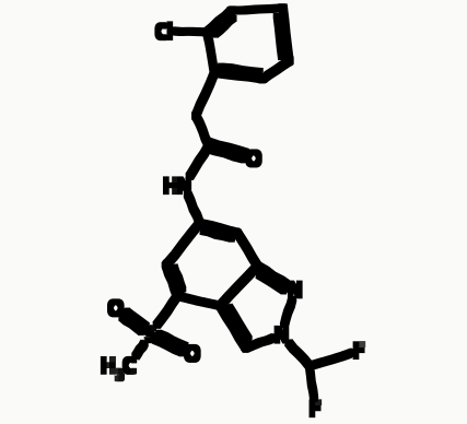 CS(=O)(=O)c1cc(NC(=O)Cc2ccccc2Cl)cc2nn(C(F)F)cc12